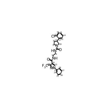 O=C(NCCNC(=O)N1CCC(c2ccccc2Cl)C1)c1cn(-c2ccccc2)nc1C(F)(F)F